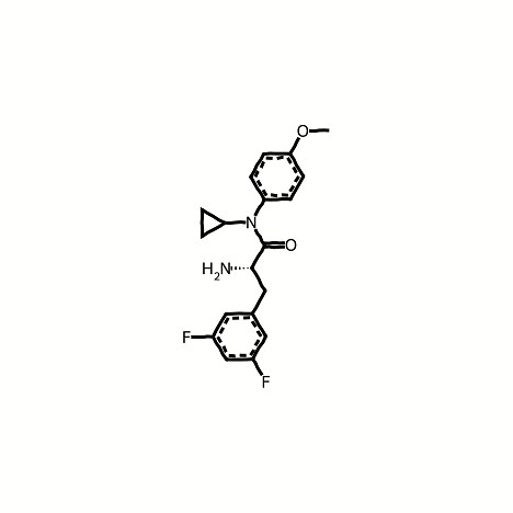 COc1ccc(N(C(=O)[C@@H](N)Cc2cc(F)cc(F)c2)C2CC2)cc1